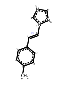 [CH2]c1ccc(/C=C/n2cncn2)cc1